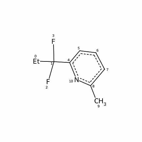 CCC(F)(F)c1cccc(C)n1